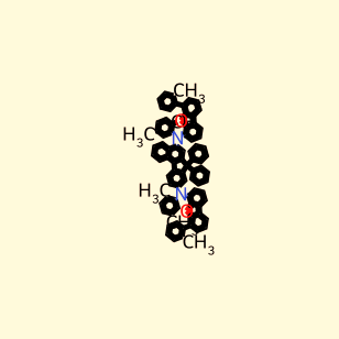 Cc1ccc(C)c(N(c2ccc3c(c2)C(c2ccccc2)(c2ccccc2)c2cc(N(c4cc(C)ccc4C)c4cccc5c4oc4c(-c6ccccc6C)cccc45)c4ccccc4c2-3)c2cccc3c2oc2c(-c4ccccc4C)cccc23)c1